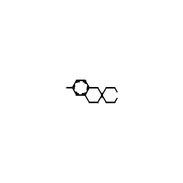 Oc1ccc2c(c1)CCC1(CCOCC1)C2